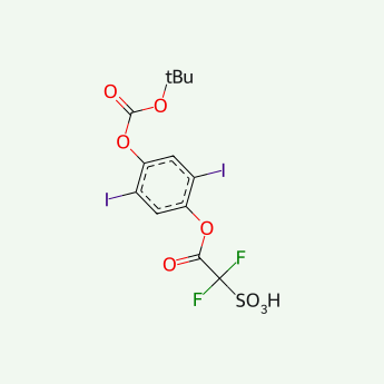 CC(C)(C)OC(=O)Oc1cc(I)c(OC(=O)C(F)(F)S(=O)(=O)O)cc1I